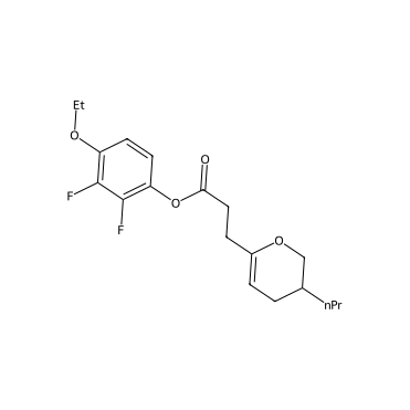 CCCC1CC=C(CCC(=O)Oc2ccc(OCC)c(F)c2F)OC1